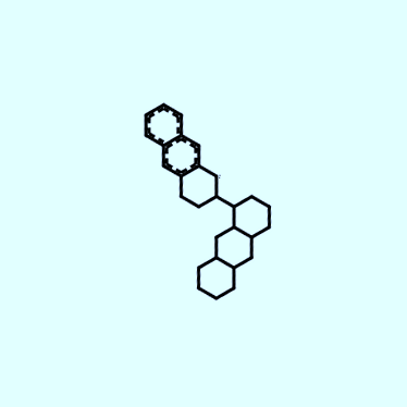 [C]1c2cc3ccccc3cc2CCC1C1CCCC2CC3CCCCC3CC21